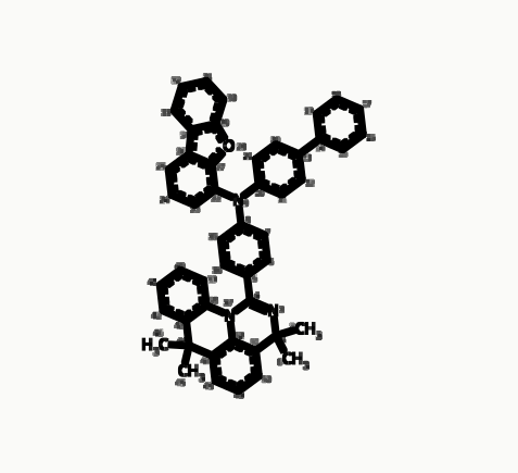 CC1(C)N=C(c2ccc(N(c3ccc(-c4ccccc4)cc3)c3cccc4c3oc3ccccc34)cc2)N2c3ccccc3C(C)(C)c3cccc1c32